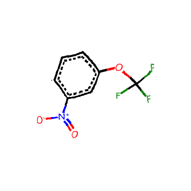 O=[N+]([O-])c1[c]ccc(OC(F)(F)F)c1